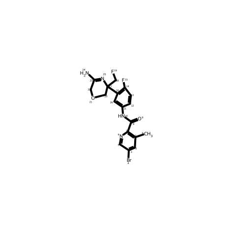 Cc1cc(Br)cnc1C(=O)Nc1ccc(F)c(C2(CF)COCC(N)=N2)c1